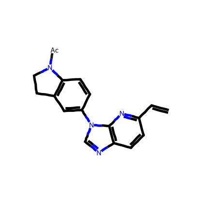 C=Cc1ccc2ncn(-c3ccc4c(c3)CCN4C(C)=O)c2n1